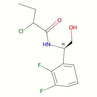 CCC(Cl)C(=O)N[C@@H](CO)c1cccc(F)c1F